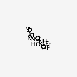 O=C(Nc1ccc(F)c(Nc2ncc(-c3cccnc3)o2)c1)c1cccc(C(F)(F)F)c1